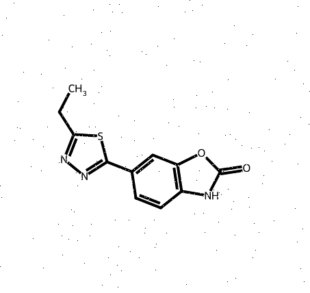 CCc1nnc(-c2ccc3[nH]c(=O)oc3c2)s1